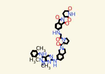 Cc1cccc(C)c1Nc1nn(C)c2nc(Nc3ccc4c(c3)CN(C(=O)[C@@H]3CCCN3C(=O)CNc3ccc5c(c3)C(=O)N(C3CCC(=O)NC3=O)C5=O)CC4)ncc12